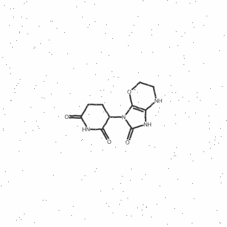 O=C1CCC(n2c3c([nH]c2=O)NCCO3)C(=O)N1